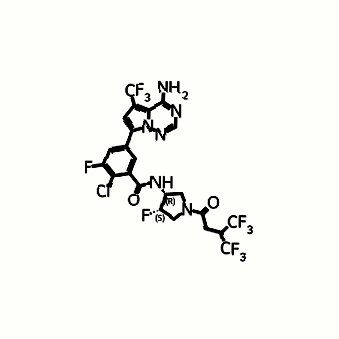 Nc1ncnn2c(-c3cc(F)c(Cl)c(C(=O)N[C@@H]4CN(C(=O)CC(C(F)(F)F)C(F)(F)F)C[C@@H]4F)c3)cc(C(F)(F)F)c12